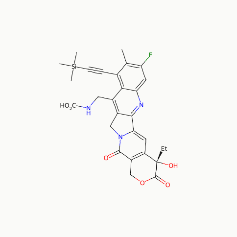 CC[C@@]1(O)C(=O)OCc2c1cc1n(c2=O)Cc2c-1nc1cc(F)c(C)c(C#C[Si](C)(C)C)c1c2CNC(=O)O